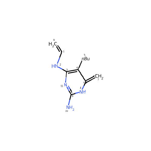 C=CNC1=C(CCCC)C(=C)NC(N)=N1